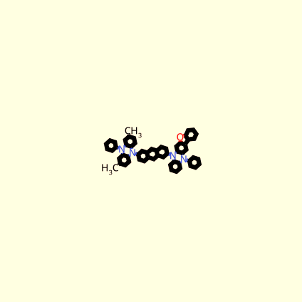 Cc1ccc2c(c1)N(c1ccccc1)c1cc(C)ccc1N2c1ccc2cc3cc(N4c5ccccc5N(c5ccccc5)c5cc6c(cc54)oc4ccccc46)ccc3cc2c1